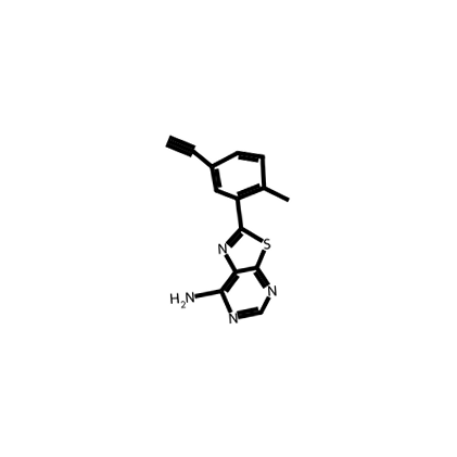 C#Cc1ccc(C)c(-c2nc3c(N)ncnc3s2)c1